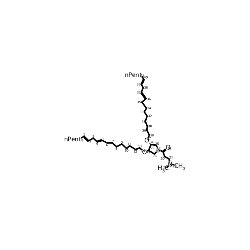 CCCCCC=CCC=CCCCCCCCCO[C@@H]1CN(C(=O)CCN(C)C)C[C@H]1OCCCCCCCCC=CCC=CCCCCC